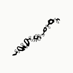 C=CC(=O)Oc1ccc(C(=O)Oc2ccc(C(=O)O[C@H]3CO[C@@H]4[C@H]3OC[C@H]4OC(=O)c3ccc(OC(=O)c4ccc(OC(=O)C=C)cc4)cc3)cc2)cc1